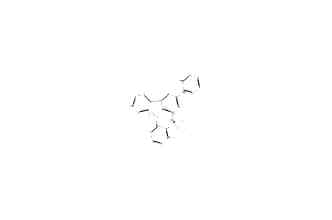 Cc1ccccc1-c1cc2c3c(c1)c1ccccc1n3-c1ccccc1C2(C)C